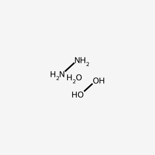 NN.O.OO